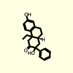 CCC12CC(=O)C(O)(c3ccccc3)C[C@H]1CCc1cc(O)ccc12